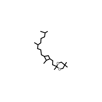 CC(C)CCCC(C)CCCC1CC(CCC2(C)OCC(C)(C)CO2)C1C